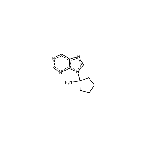 NC1(n2cnc3cncnc32)CCCC1